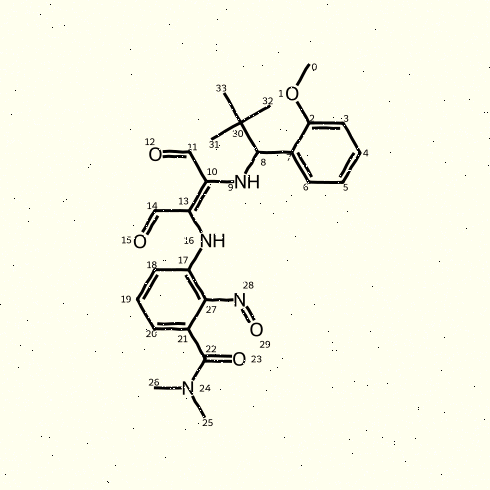 COc1ccccc1C(N/C(C=O)=C(/C=O)Nc1cccc(C(=O)N(C)C)c1N=O)C(C)(C)C